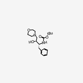 CC(C)(C)OC(=O)N[C@H](Cc1ccccc1)[C@@H](O)CN1CCOCC1